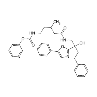 CC(CCNC(=O)Oc1cccnc1)CC(=O)NCC(O)(CCc1ccccc1)c1ncc(-c2ccccc2)o1